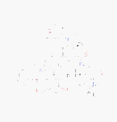 CCN(c1cc(-c2ccc(N(Cc3ccccc3)C(=O)c3cc(C(C)C)c(O)cc3O)cc2)cc(C(=O)NCc2c(C)cc(C)[nH]c2=O)c1C)C1CCOCC1